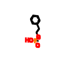 O=[P](O)OCCc1ccccc1